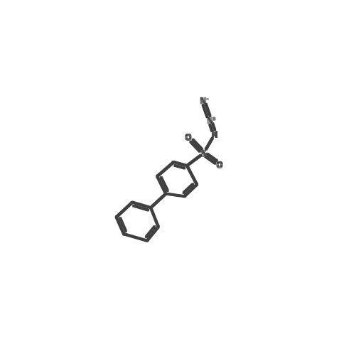 [N-]=[N+]=NS(=O)(=O)c1ccc(-c2ccccc2)cc1